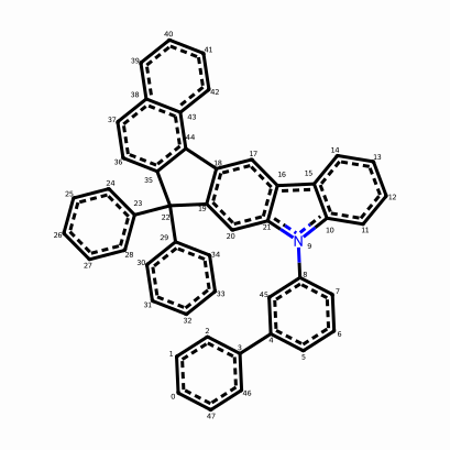 c1ccc(-c2cccc(-n3c4ccccc4c4cc5c(cc43)C(c3ccccc3)(c3ccccc3)c3ccc4ccccc4c3-5)c2)cc1